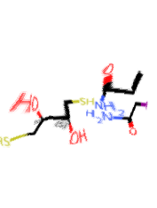 C=CC(N)=O.NC(=O)CI.O[C@H](CS)[C@H](O)CS